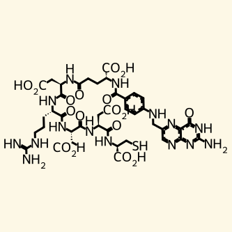 N=C(N)NCCC[C@H](NC(=O)[C@@H](CC(=O)O)NC(=O)CC[C@@H](NC(=O)c1ccc(NCc2cnc3nc(N)[nH]c(=O)c3n2)cc1)C(=O)O)C(=O)N[C@@H](CC(=O)O)C(=O)N[C@@H](CC(=O)O)C(=O)N[C@@H](CS)C(=O)O